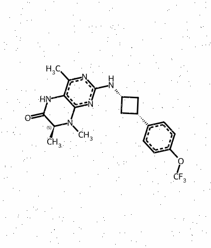 Cc1nc(N[C@H]2C[C@@H](c3ccc(OC(F)(F)F)cc3)C2)nc2c1NC(=O)[C@H](C)N2C